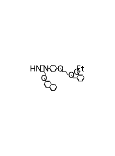 CCOc1ccccc1COCCCOc1ccc(N2CCNCC2COc2ccc3ccccc3c2)cc1